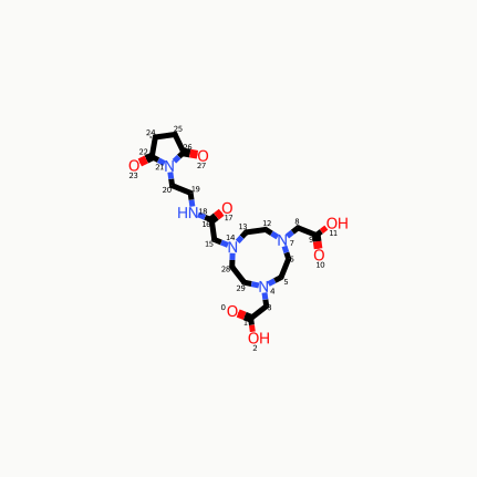 O=C(O)CN1CCN(CC(=O)O)CCN(CC(=O)NCCN2C(=O)[CH]CC2=O)CC1